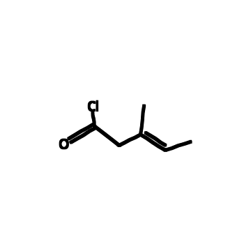 C/C=C(\C)CC(=O)Cl